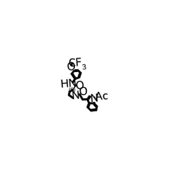 CC(=O)n1cc(CC(=O)N2CCC[C@H]2C(=O)Nc2cccc(OC(F)(F)F)c2)c2ccccc21